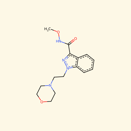 CONC(=O)c1nn(CCN2CCOCC2)c2ccccc12